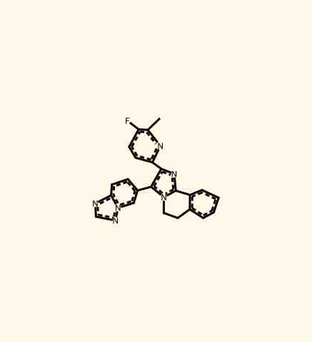 Cc1nc(-c2nc3n(c2-c2ccc4ncnn4c2)CCc2ccccc2-3)ccc1F